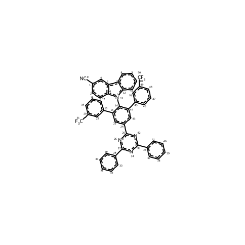 N#Cc1ccc2c(c1)c1ccccc1n2-c1c(-c2cccc(C(F)(F)F)c2)cc(-c2nc(-c3ccccc3)nc(-c3ccccc3)n2)cc1-c1cccc(C(F)(F)F)c1